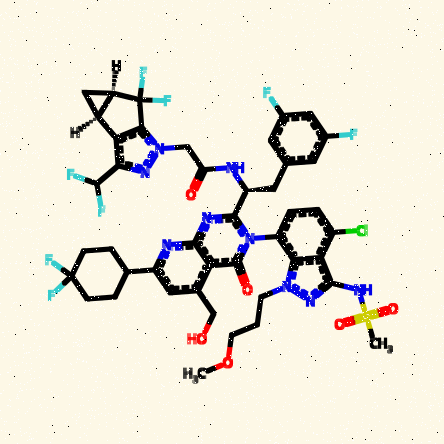 COCCCn1nc(NS(C)(=O)=O)c2c(Cl)ccc(-n3c([C@H](Cc4cc(F)cc(F)c4)NC(=O)Cn4nc(C(F)F)c5c4C(F)(F)[C@@H]4C[C@H]54)nc4nc(C5CCC(F)(F)CC5)cc(CO)c4c3=O)c21